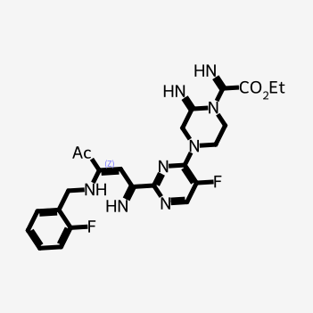 CCOC(=O)C(=N)N1CCN(c2nc(C(=N)/C=C(\NCc3ccccc3F)C(C)=O)ncc2F)CC1=N